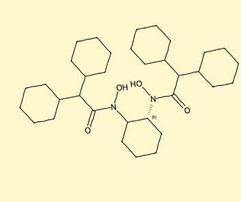 O=C(C(C1CCCCC1)C1CCCCC1)N(O)C1CCCC[C@H]1N(O)C(=O)C(C1CCCCC1)C1CCCCC1